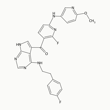 COc1ccc(Nc2ccc(C(=O)c3c[nH]c4ncnc(NCCc5ccc(F)cc5)c34)c(F)n2)cn1